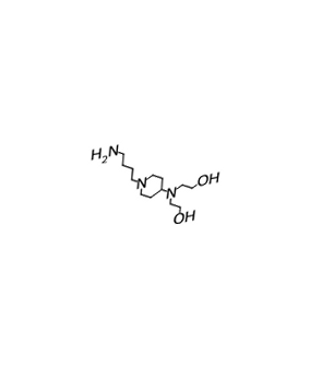 NCCCCN1CCC(N(CCO)CCO)CC1